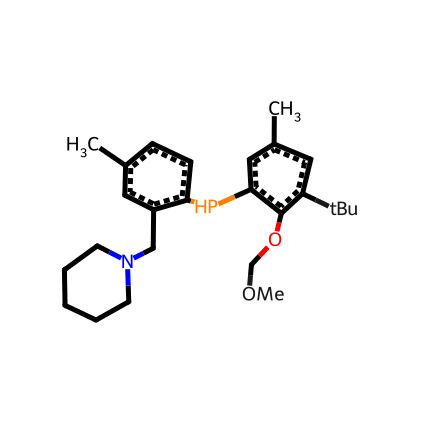 COCOc1c(Pc2ccc(C)cc2CN2CCCCC2)cc(C)cc1C(C)(C)C